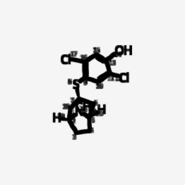 CN1[C@@H]2CC[C@H]1C[C@H](Sc1cc(Cl)c(O)cc1Cl)C2